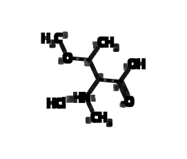 CNC(C(=O)O)C(C)OC.Cl